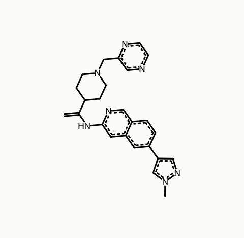 C=C(Nc1cc2cc(-c3cnn(C)c3)ccc2cn1)C1CCN(Cc2cnccn2)CC1